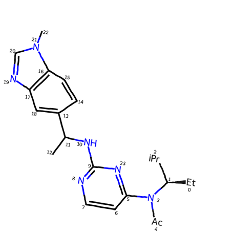 CC[C@H](C(C)C)N(C(C)=O)c1ccnc(NC(C)c2ccc3c(c2)ncn3C)n1